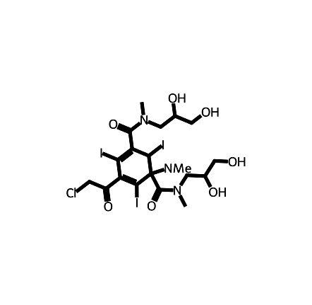 CNC1(C(=O)N(C)CC(O)CO)C(I)=C(C(=O)CCl)C(I)=C(C(=O)N(C)CC(O)CO)C1I